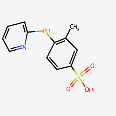 Cc1cc(S(=O)(=O)O)ccc1Pc1ccccn1